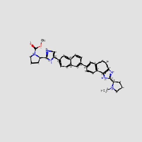 CC(C)(C)OC(=O)N1CCCC1c1ncc(-c2ccc3cc(-c4ccc5c(c4)CCc4nc(C6CCCN6C(=O)O)[nH]c4-5)ccc3c2)[nH]1